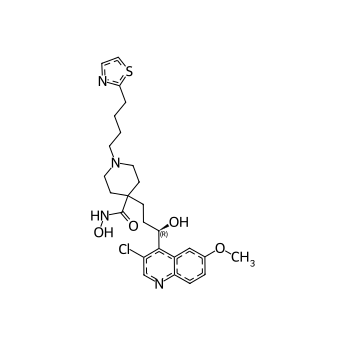 COc1ccc2ncc(Cl)c([C@H](O)CCC3(C(=O)NO)CCN(CCCCc4nccs4)CC3)c2c1